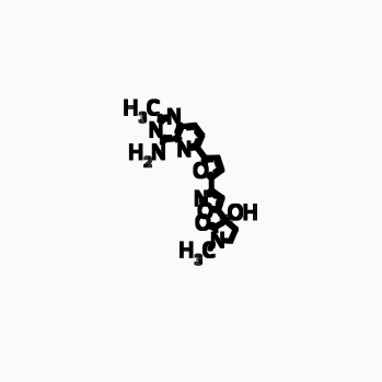 Cc1nc(N)c2nc(-c3ccc(-c4cc([C@]5(O)CCN(C)C5=O)on4)o3)ccc2n1